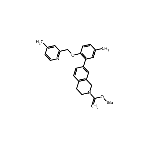 C=C(OC(C)(C)C)N1CCc2ccc(-c3cc(C)ccc3OCc3cc(C)ccn3)cc2C1